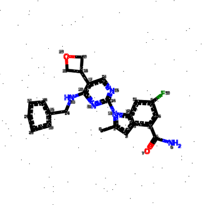 Cc1cc2c(C(N)=O)cc(F)cc2n1-c1ncc(C2COC2)c(NCc2ccccc2)n1